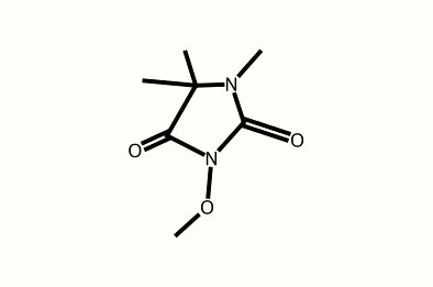 CON1C(=O)N(C)C(C)(C)C1=O